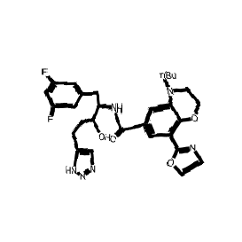 CCCCN1CCOc2c(-c3ncco3)cc(C(=O)NC(Cc3cc(F)cc(F)c3)C(O)CCc3cnn[nH]3)cc21